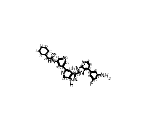 Nc1cc(F)cc(-c2ccnc3[nH]c(-c4n[nH]c5cnc(-c6cncc(NC(=O)CC7CCCCC7)c6)cc45)nc23)c1